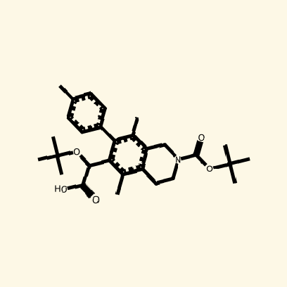 Cc1ccc(-c2c(C)c3c(c(C)c2C(OC(C)(C)C)C(=O)O)CCN(C(=O)OC(C)(C)C)C3)cc1